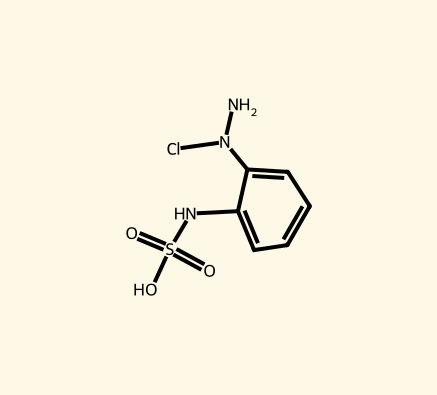 NN(Cl)c1ccccc1NS(=O)(=O)O